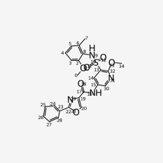 COc1cccc(C)c1NS(=O)(=O)c1cc(NC(=O)c2coc(-c3ccccc3)n2)cnc1OC